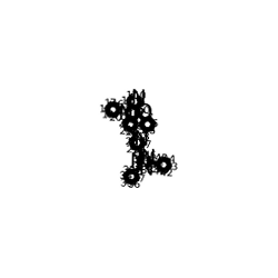 O=P1(c2ccccc2)c2cnccc2N(c2ccccc2)c2ccc(-c3ccc(-c4nc(-c5ccccc5)nc(-c5ccccc5)n4)cn3)cc21